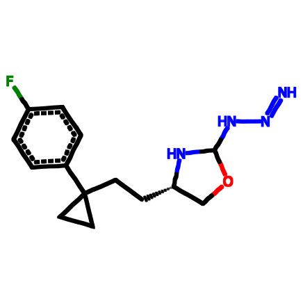 N=NNC1N[C@@H](CCC2(c3ccc(F)cc3)CC2)CO1